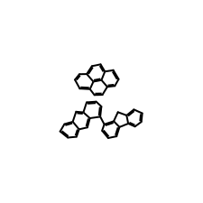 c1cc2ccc3cccc4ccc(c1)c2c34.c1ccc2c(c1)Cc1c-2cccc1-c1cccc2cc3ccccc3cc12